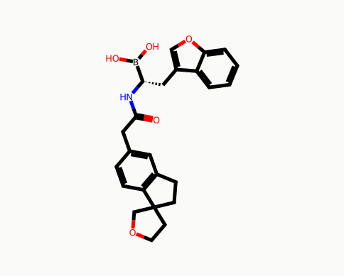 O=C(Cc1ccc2c(c1)CCC21CCOC1)N[C@@H](Cc1coc2ccccc12)B(O)O